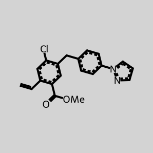 C=Cc1cc(Cl)c(Cc2ccc(-n3cccn3)cc2)cc1C(=O)OC